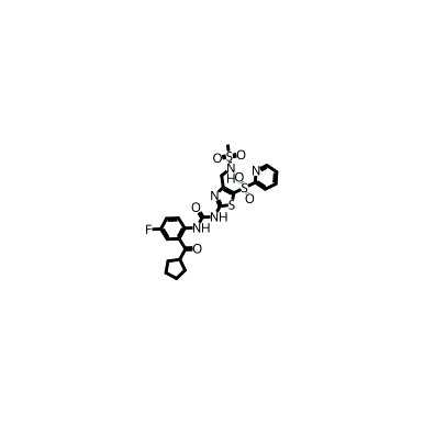 CS(=O)(=O)NCc1nc(NC(=O)Nc2ccc(F)cc2C(=O)C2CCCC2)sc1S(=O)(=O)c1ccccn1